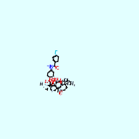 C=C1C(=O)[C@]23[C@H](OC(=O)C4CCC(NC(=O)c5ccc(F)cc5)CC4)[C@H]1CC[C@H]2[C@@]12CO[C@@]3(O)[C@@H](O)[C@@H]1C(C)(C)CCC2=O